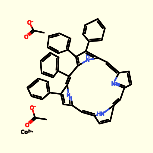 C1=Cc2cc3[nH]c(c(-c4ccccc4)c4nc(cc5ccc(cc1n2)[nH]5)C=C4c1ccccc1)c(-c1ccccc1)c3-c1ccccc1.CC(=O)[O-].CC(=O)[O-].[Co+2]